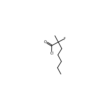 CCCCCC(C)(F)C(=O)Cl